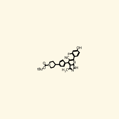 Cc1n[nH]c2nc(-c3ccc(O)cc3F)c(C#N)c(-c3ccc(C4CCN(C(=O)OC(C)(C)C)CC4)cc3)c12